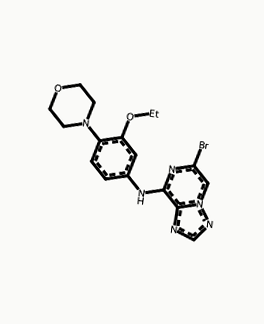 CCOc1cc(Nc2nc(Br)cn3ncnc23)ccc1N1CCOCC1